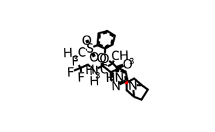 CC(C)(Oc1ccccc1S(C)(=O)=O)C(=O)NC1CC2CCC(C1)N2c1ccc(C(=O)NCC(F)(F)F)cn1